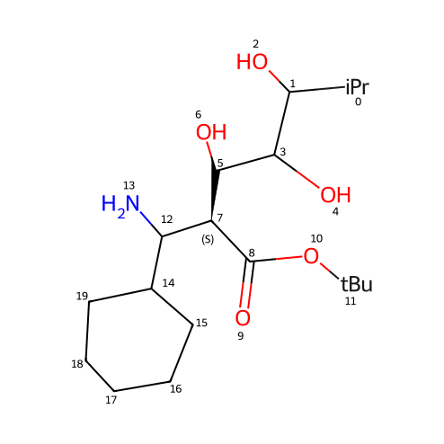 CC(C)C(O)C(O)C(O)[C@@H](C(=O)OC(C)(C)C)C(N)C1CCCCC1